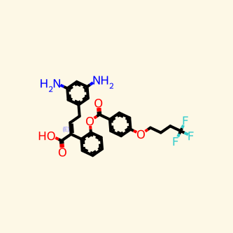 Nc1cc(N)cc(C/C=C(/C(=O)O)c2ccccc2OC(=O)c2ccc(OCCCC(F)(F)F)cc2)c1